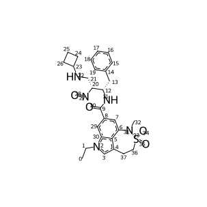 CCn1cc2c3c(cc(C(=O)N[C@@H](Cc4ccccc4)[C@@H](CNC4CCC4)N=O)cc31)N(C)S(=O)(=O)CC2